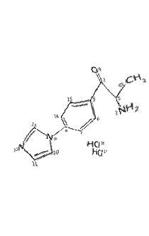 CC(N)C(=O)c1ccc(-n2ccnc2)cc1.Cl.Cl